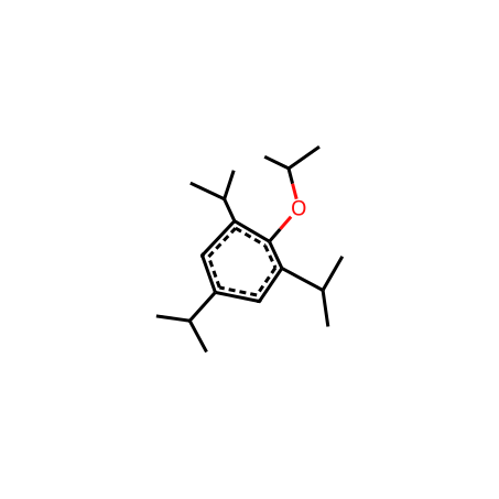 CC(C)Oc1c(C(C)C)cc(C(C)C)cc1C(C)C